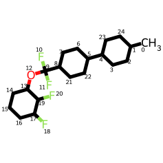 CC1CCC(C2CCC(C(F)(F)OC3CCCC(F)C3F)CC2)CC1